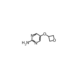 Nc1ncc(OC2COC2)cn1